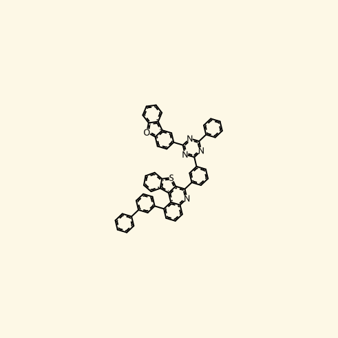 c1ccc(-c2cccc(-c3cccc4nc(-c5cccc(-c6nc(-c7ccccc7)nc(-c7ccc8oc9ccccc9c8c7)n6)c5)c5sc6ccccc6c5c34)c2)cc1